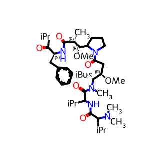 CC[C@H](C)C([C@@H](CC(=O)N1CCCC1[C@H](OC)[C@@H](C)C(=O)N[C@@H](Cc1ccccc1)C(=O)C(C)C)OC)N(C)C(=O)C(NC(=O)C(C(C)C)N(C)C)C(C)C